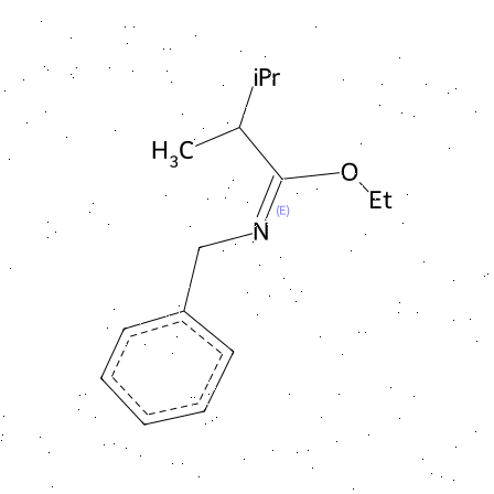 CCO/C(=N/Cc1ccccc1)C(C)C(C)C